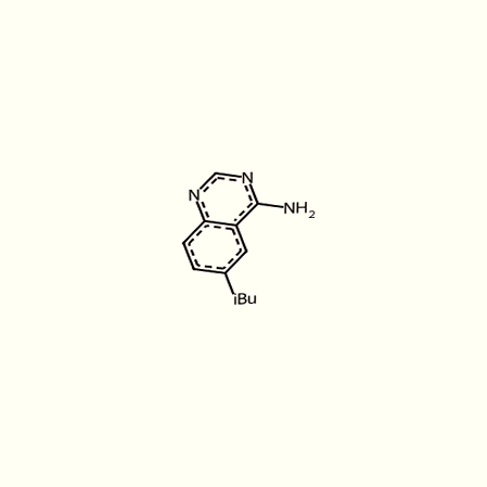 CCC(C)c1ccc2ncnc(N)c2c1